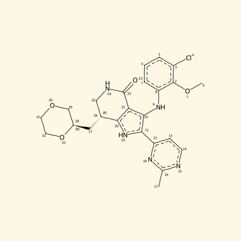 COc1c(Cl)cccc1Nc1c(-c2ccnc(C)n2)[nH]c2c1C(=O)NC[C@H]2C[C@@H]1COCCO1